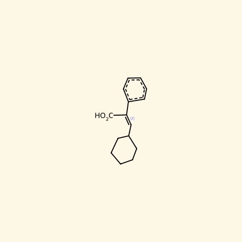 O=C(O)/C(=C\C1CCCCC1)c1ccccc1